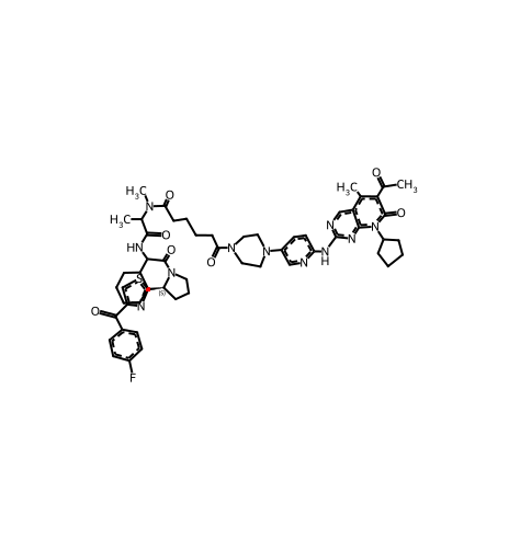 CC(=O)c1c(C)c2cnc(Nc3ccc(N4CCN(C(=O)CCCCC(=O)N(C)C(C)C(=O)NC(C(=O)N5CCC[C@H]5c5nc(C(=O)c6ccc(F)cc6)cs5)C5CCCCC5)CC4)cn3)nc2n(C2CCCC2)c1=O